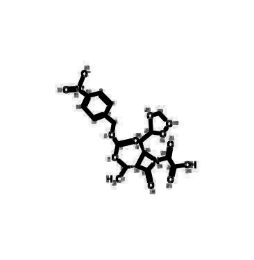 CC(OC(=O)OCc1ccc([N+](=O)[O-])cc1)[C@H]1C(=O)N(C(=O)C(=O)O)[C@@H]1CC1OCOO1